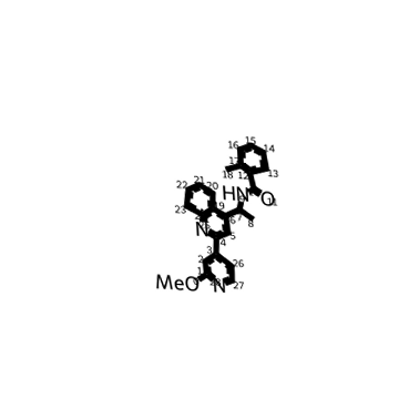 COc1cc(-c2cc(C(C)NC(=O)c3ccccc3C)c3ccccc3n2)ccn1